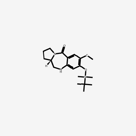 COc1cc2c(cc1O[Si](C)(C)C(C)(C)C)NC[C@@H]1CCCN1C2=O